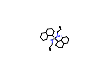 C=CCN[Si](NCC=C)(C1CCCC2CCCCC21)C1CCCC2CCCCC21